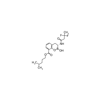 CC(C)CCCOC(=O)c1cccc2c1OB(O)[C@@H](NC(=O)CC(C)(F)F)C2